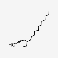 CCCCCCCCCCCCC(CC)CC#CO